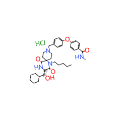 CCCCCN1C(=O)[C@@H]([C@H](O)C2CCCCC2)NC(=O)C12CCN(Cc1ccc(Oc3ccc(C(=O)NC)cc3)cc1)CC2.Cl